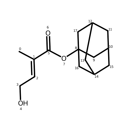 CC(=CCO)C(=O)OC12CC3CC(CC(C3)C1)C2